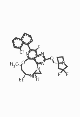 CC[C@H]1C[C@H](C)Oc2nc(-c3cccc4cccc(Cl)c34)c(F)c3nc(OC[C@]45CCN4CC(F)(F)C5)nc(c23)N2C[C@@H]2N1